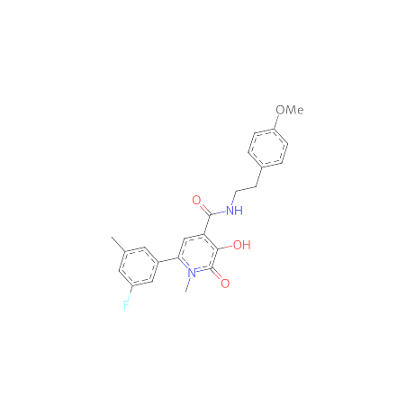 COc1ccc(CCNC(=O)c2cc(-c3cc(C)cc(F)c3)n(C)c(=O)c2O)cc1